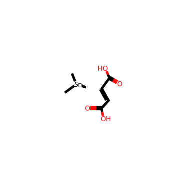 O=C(O)C=CC(=O)O.[CH3][Sn]([CH3])[CH3]